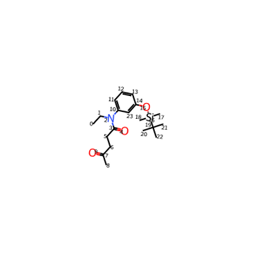 CCN(C(=O)CCC(C)=O)c1cccc(O[Si](C)(C)C(C)(C)C)c1